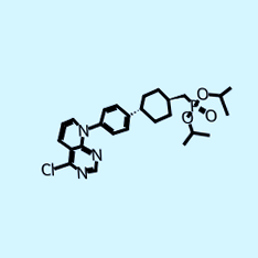 CC(C)OP(=O)(C[C@H]1CC[C@H](c2ccc(N3C=C=Cc4c(Cl)ncnc43)cc2)CC1)OC(C)C